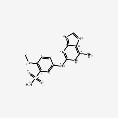 COc1ccc(Nc2nc3ncnc-3c(N)[nH]2)cc1S(N)(=O)=O